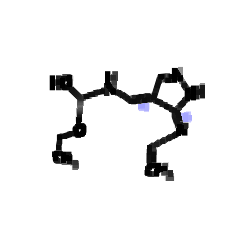 C=C/N=C1/NN=C/C1=C\NC(O)OCC